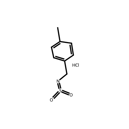 Cc1ccc(CN=S(=O)=O)cc1.Cl